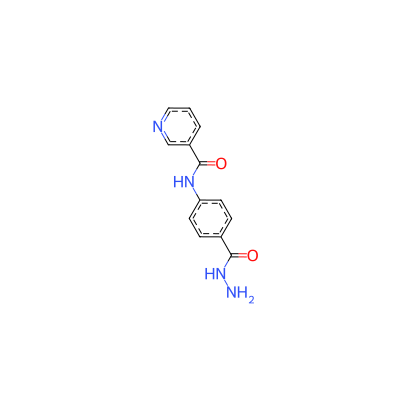 NNC(=O)c1ccc(NC(=O)c2cccnc2)cc1